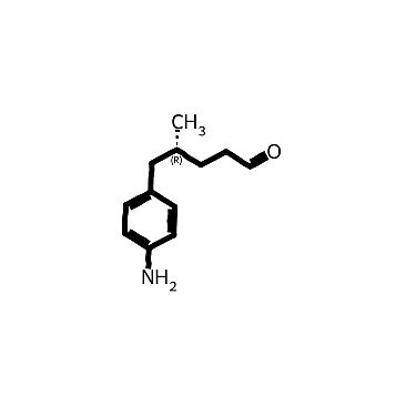 C[C@H](CCC=O)Cc1ccc(N)cc1